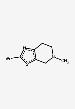 CC(C)c1nc2c(s1)CN(C)CC2